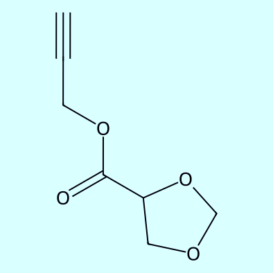 C#CCOC(=O)C1COCO1